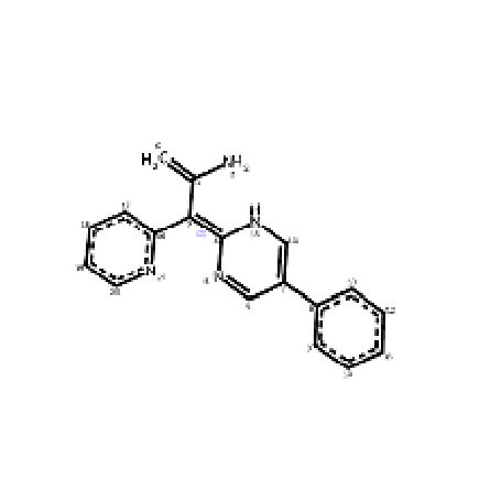 C=C(N)/C(=C1/N=CC(c2ccccc2)=CN1)c1ccccn1